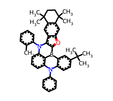 Cc1ccccc1N1c2cccc3c2B(c2cc(C(C)(C)C)ccc2N3c2ccccc2)c2oc3cc4c(cc3c21)C(C)(C)CCC4(C)C